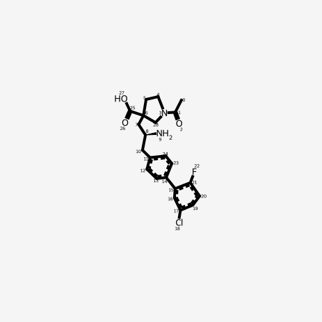 CC(=O)N1CCC(C[C@@H](N)Cc2ccc(-c3cc(Cl)ccc3F)cc2)(C(=O)O)C1